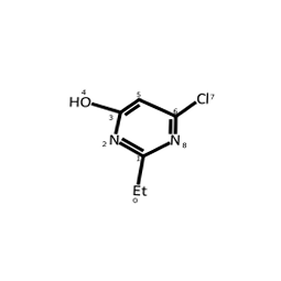 CCc1nc(O)cc(Cl)n1